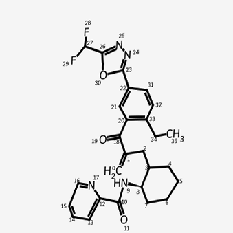 C=C(CC1CCCC[C@H]1NC(=O)c1ccccn1)C(=O)c1cc(-c2nnc(C(F)F)o2)ccc1CC